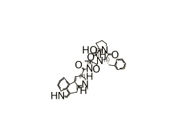 CN1C[C@H](C(=O)N[C@]2(C)O[C@@]3(O)[C@H]4CCCN4C(=O)[C@H](Cc4ccccc4)N3C2=O)C=C2c3cccc4[nH]cc(c34)C[C@H]21